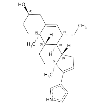 CC[C@H]1C=C2C[C@H](O)CC[C@]2(C)[C@H]2CC[C@]3(C)C(c4cc[nH]c4)=CC[C@H]3[C@H]12